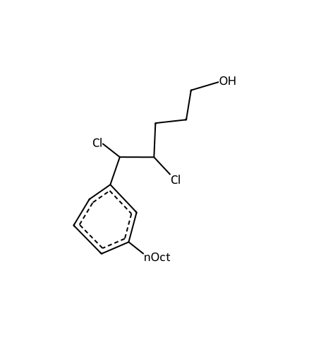 CCCCCCCCc1cccc(C(Cl)C(Cl)CCCO)c1